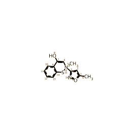 Cc1cc([N+]2(C)C=C(O)c3ccccc3S2)no1